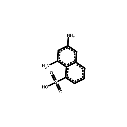 Nc1cc(N)c2c(S(=O)(=O)O)cccc2c1